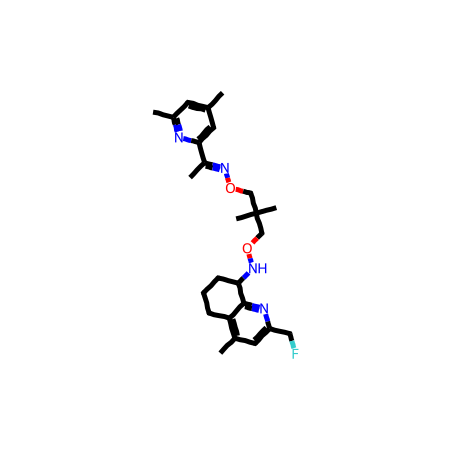 C/C(=N\OCC(C)(C)CONC1CCCc2c(C)cc(CF)nc21)c1cc(C)cc(C)n1